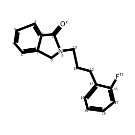 O=C1c2ccccc2CN1CCCc1ccccc1F